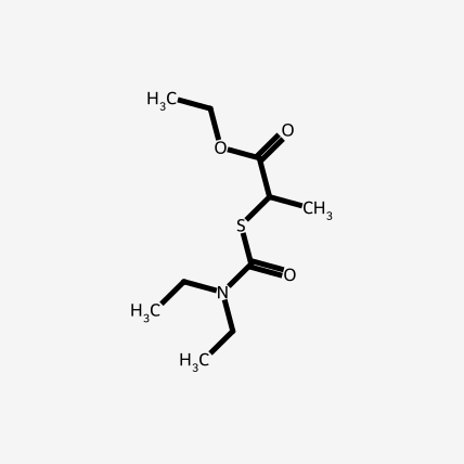 CCOC(=O)C(C)SC(=O)N(CC)CC